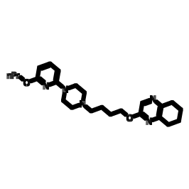 CCCOc1cccc(N2CCN(CCCCOc3cnc4c(n3)CCCC4)CC2)n1